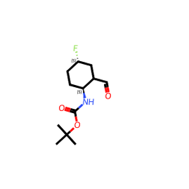 CC(C)(C)OC(=O)N[C@H]1CC[C@H](F)CC1C=O